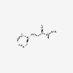 O=C(/C=C/c1ccccc1)N[N+](=O)[O-]